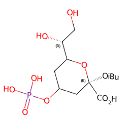 CC(C)CO[C@]1(C(=O)O)CC(OP(=O)(O)O)CC([C@H](O)CO)O1